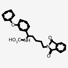 O=C(O)NC(CCCCN1C(=O)c2ccccc2C1=O)c1cccc(Oc2ccccc2)c1